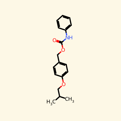 CC(C)COc1ccc(COC(=O)Nc2ccccc2)cc1